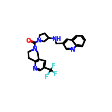 O=C(N1CCc2ncc(C(F)(F)F)cc2C1)N1CCC(NCc2cnc3ccccc3c2)C1